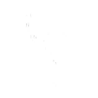 CC(CC(=O)N1CCC([O])CC1)C(=O)c1ccccc1/C(N)=N\O